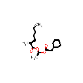 CCCCC=C(C)C(=O)OC(C)OC(=O)CC1CCCCC1